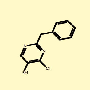 Sc1cnc(Cc2ccccc2)nc1Cl